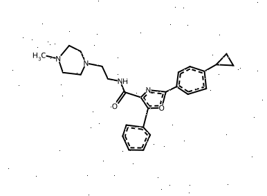 CN1CCN(CCNC(=O)c2nc(-c3ccc(C4CC4)cc3)oc2-c2ccccc2)CC1